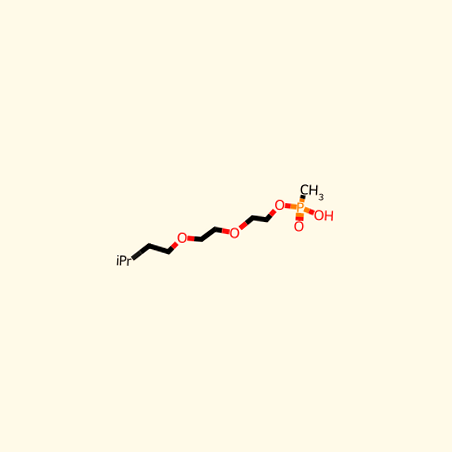 CC(C)CCOCCOCCOP(C)(=O)O